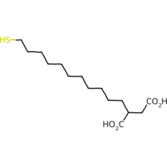 O=C(O)CC(CCCCCCCCCCCS)C(=O)O